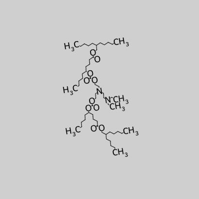 CCCCCC(CCCCC)COC(=O)CCCC(CCCCC)OC(=O)OCCN(CCOC(=O)OC(CCCCC)CCCC(=O)OCC(CCCCC)CCCCC)CCN(CC)CC